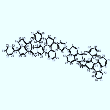 O=c1c2ccc(-c3ccc(-c4cccc(-c5c(-c6ccccc6)cc6nc7c8ccc(-c9ccccc9)c9cccc(c(=O)n7c6c5-c5ccccc5)c98)c4)cc3)c3cccc(c32)c2nc3cc(-c4ccccc4)c(-c4ccccc4)c(-c4ccccc4)c3n12